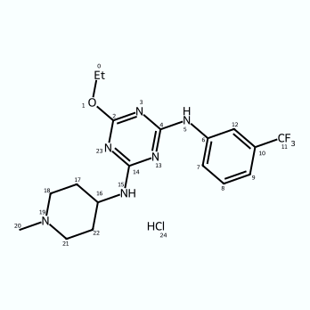 CCOc1nc(Nc2cccc(C(F)(F)F)c2)nc(NC2CCN(C)CC2)n1.Cl